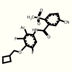 CC(=O)c1c(NC(=O)c2cc(C#N)ccc2S(C)(=O)=O)cc(F)c(OCC2CCC2)c1F